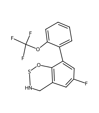 Fc1cc2c(c(-c3ccccc3OC(F)(F)F)c1)OSNC2